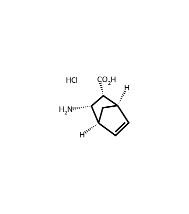 Cl.N[C@@H]1[C@H](C(=O)O)[C@H]2C=C[C@@H]1C2